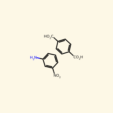 Nc1cccc([N+](=O)[O-])c1.O=C(O)c1ccc(C(=O)O)cc1